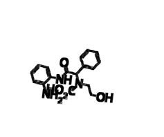 Nc1ccccc1NC(=O)C(c1ccccc1)N(CCO)C(=O)O